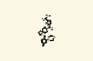 Cc1ccc(CN2CCCC23CCN(C(=O)n2ccc(C(=O)O)n2)CC3)c(N2CCOCC2)c1